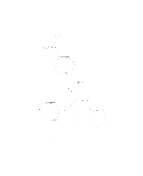 COc1ccccc1/C(Br)=C(\NC(=O)c1ccc([N+](=O)[O-])cc1)C(=O)N1CCCC1